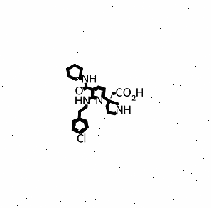 O=C(O)C[C@@]1(c2ccc(C(=O)NC3CCCCC3)c(NCCc3ccc(Cl)cc3)n2)CCCNC1